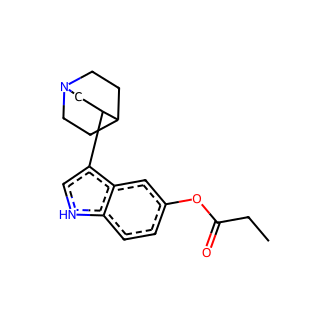 CCC(=O)Oc1ccc2[nH]cc(C3CN4CCC3CC4)c2c1